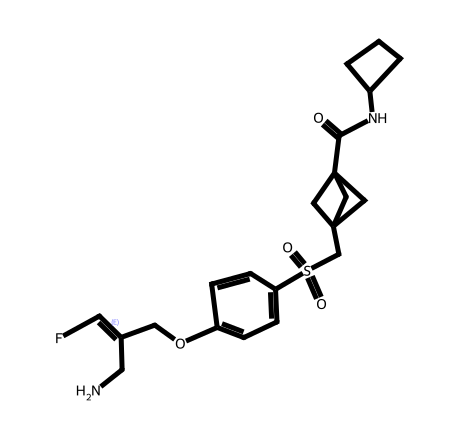 NC/C(=C\F)COc1ccc(S(=O)(=O)CC23CC(C(=O)NC4CCC4)(C2)C3)cc1